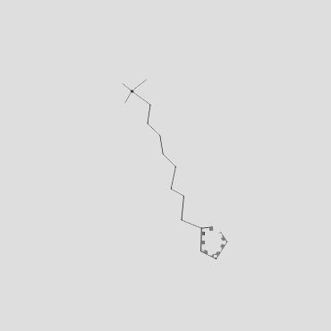 CC(C)(C)CCCCCCCCc1cccs1